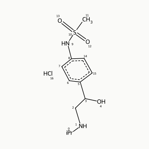 CC(C)NCC(O)c1ccc(NS(C)(=O)=O)cc1.Cl